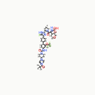 C[C@H]1C[C@@H](c2nc(-c3ccc(-c4ccc(NC(=O)N5CCC(N6CCN(C(=O)C(C)(C)C)CC6)CC5)cc4OC(F)(F)F)cc3)c(F)[nH]2)N(C(=O)[C@@H](NC(=O)O)C2CCOCC2)C1